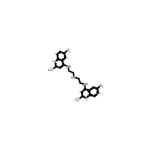 Cc1cc(NCCNCCNc2cc(C)nc3ccc(Cl)cc23)c2cc(Cl)ccc2n1